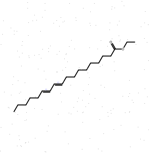 CCCCC/C=C/C=C/CCCCCCCCC(=O)OCC